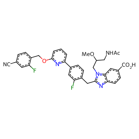 COC(CNC(C)=O)Cn1c(Cc2ccc(-c3cccc(OCc4ccc(C#N)cc4F)n3)cc2F)nc2ccc(C(=O)O)cc21